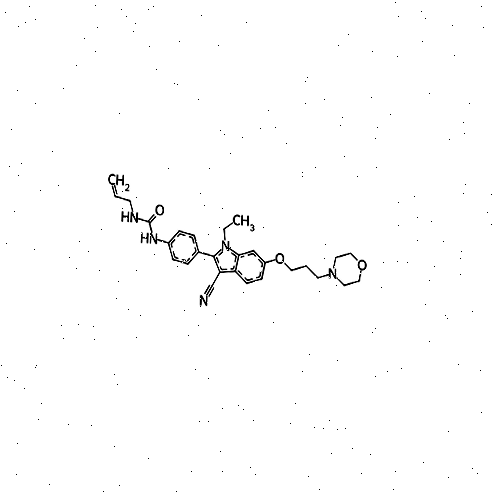 C=CCNC(=O)Nc1ccc(-c2c(C#N)c3ccc(OCCCN4CCOCC4)cc3n2CC)cc1